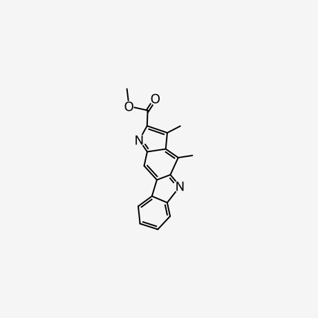 COC(=O)C1=C(C)c2c(C)c3c(cc2=N1)-c1ccccc1N=3